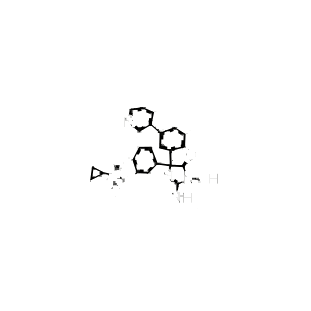 CN1C(=O)C(c2cccc(OS(=O)(=O)C3CC3)c2)(c2cccc(-c3cccnc3)c2)N=C1N